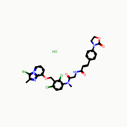 Cc1nc2c(OCc3c(Cl)ccc(N(C)C(=O)CNC(=O)/C=C/c4ccc(N5CCOC5=O)cc4)c3Cl)cccn2c1Br.Cl